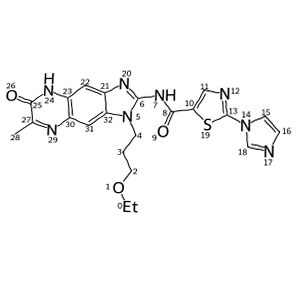 CCOCCCn1c(NC(=O)c2cnc(-n3ccnc3)s2)nc2cc3[nH]c(=O)c(C)nc3cc21